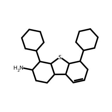 NC1CCC2C3C=CCC(C4CCCCC4)C3SC2C1C1CCCCC1